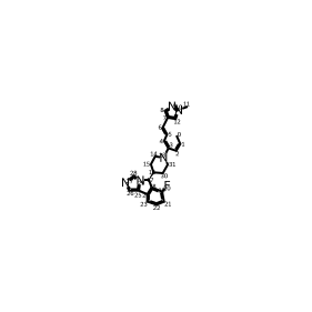 C\C=C/C(=C\C=C\c1cnn(C)c1)N1CCC([C@H]2c3c(F)cccc3-c3cncn32)CC1